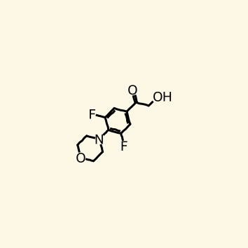 O=C(CO)c1cc(F)c(N2CCOCC2)c(F)c1